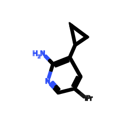 CC(C)c1cnc(N)c(C2CC2)c1